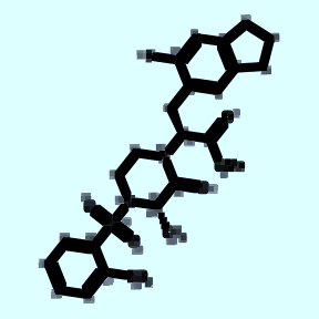 COC(=O)[C@H](Cc1cc2c(cc1F)CCC2)N1CCN(S(=O)(=O)c2ccccc2[N+](=O)[O-])[C@@H](C)C1=O